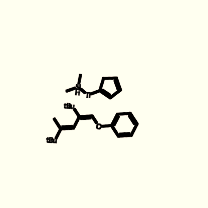 CC(=CC(=COc1ccccc1)C(C)(C)C)C(C)(C)C.C[SiH](C)[Ti][C]1=CC=CC1